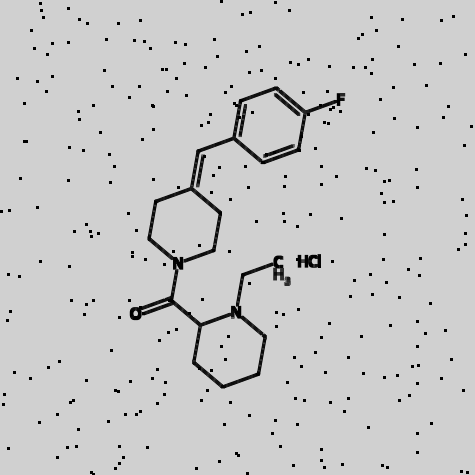 CCN1CCCCC1C(=O)N1CCC(=Cc2ccc(F)cc2)CC1.Cl